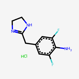 Cl.Nc1c(F)cc(CC2=NCCN2)cc1F